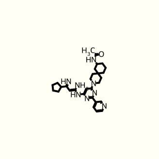 CC(=O)NC1CCCC2(CCN(c3cc(N/C(N)=C/C(=N)C4CCCC4)nc(-c4cccnc4)n3)CC2)C1